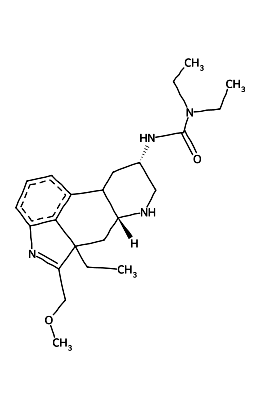 CCN(CC)C(=O)N[C@@H]1CN[C@@H]2CC3(CC)C(COC)=Nc4cccc(c43)C2C1